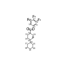 O=C(Oc1cc(F)c(F)c(F)c1)C1CCC(C2CCCCC2)CC1